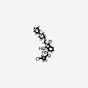 O=C(Nc1cccc2c1C(O)N(CCN1CCN(c3ccncc3)CC1)C2=O)c1ccc(Cl)s1